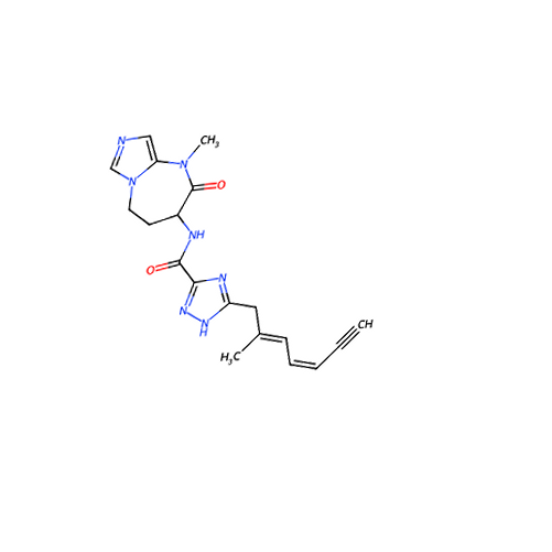 C#C/C=C\C=C(/C)Cc1nc(C(=O)NC2CCn3cncc3N(C)C2=O)n[nH]1